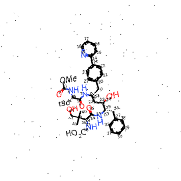 COC(=O)N[C@H](C(=O)N[C@@H](Cc1ccc(-c2ccccn2)cc1)CC(O)[C@H](Cc1ccccc1)NC(=O)[C@@H](NC(=O)O)C(C)(C)CO)C(C)(C)C